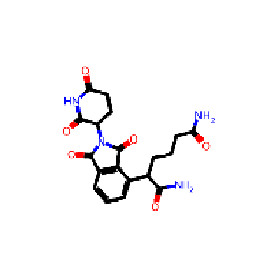 NC(=O)CCCC(C(N)=O)c1cccc2c1C(=O)N(C1CCC(=O)NC1=O)C2=O